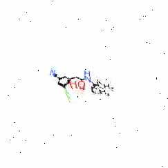 CC(C)NC(O)Cc1cc(F)cc(C#N)c1